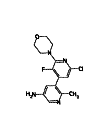 Cc1ncc(N)cc1-c1cc(Cl)nc(N2CCOCC2)c1F